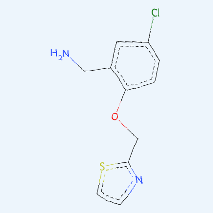 NCc1cc(Cl)ccc1OCc1nccs1